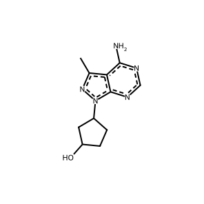 Cc1nn(C2CCC(O)C2)c2ncnc(N)c12